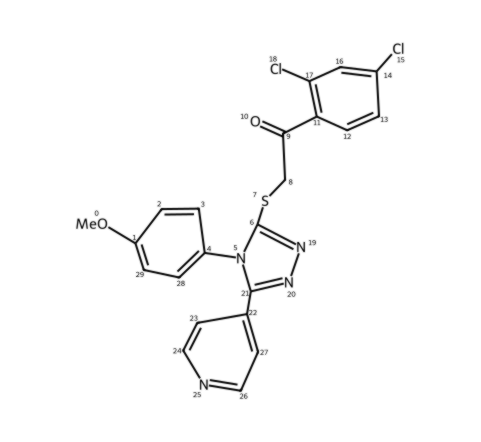 COc1ccc(-n2c(SCC(=O)c3ccc(Cl)cc3Cl)nnc2-c2ccncc2)cc1